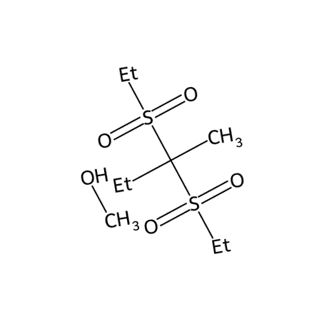 CCC(C)(S(=O)(=O)CC)S(=O)(=O)CC.CO